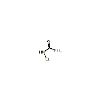 CCNC(=O)P